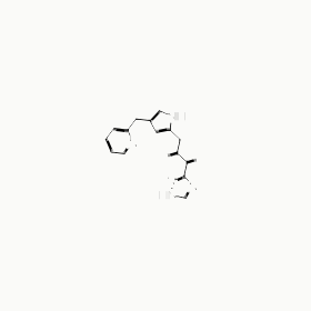 O=C(Cc1cc(Cc2ccccn2)c[nH]1)C(=O)c1nc[nH]n1